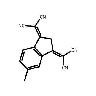 Cc1ccc2c(c1)C(=C(C#N)C#N)CC2=C(C#N)C#N